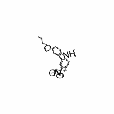 CCCCOc1ccc2[nH]c3ccc([N+](=O)[O-])cc3c2c1